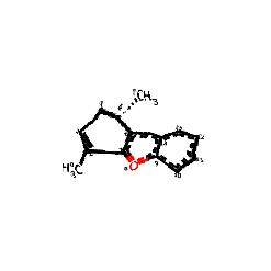 CC1=CC[C@H](C)c2c1oc1ccccc21